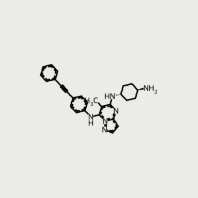 Cc1c(N[C@H]2CC[C@H](N)CC2)nc2ccnn2c1Nc1ccc(C#Cc2ccccc2)cc1